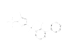 COc1c(-c2ccccc2)cccc1C(C)(C)C1=CC([Si](C)(C)C)C(C)=C1